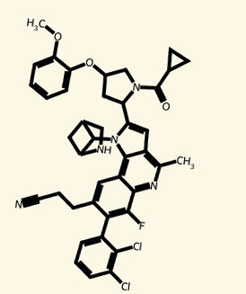 COc1ccccc1OC1CC(c2cc3c(C)nc4c(F)c(-c5cccc(Cl)c5Cl)c(CCC#N)cc4c3n2C2C3CNC2C3)N(C(=O)C2CC2)C1